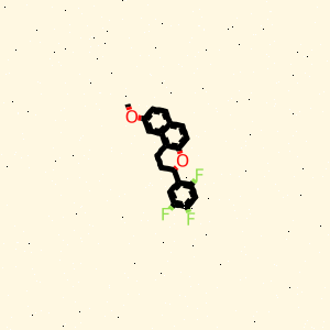 COc1ccc2ccc3c(c2c1)CCC(c1cc(F)c(F)cc1F)O3